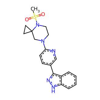 CS(=O)(=O)N1CCN(c2ccc(-c3n[nH]c4ccccc34)cn2)CC12CC2